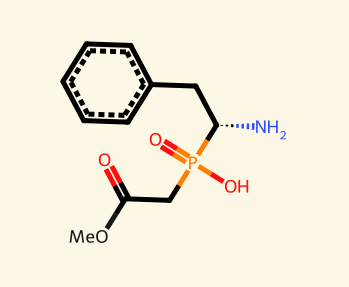 COC(=O)CP(=O)(O)[C@@H](N)Cc1ccccc1